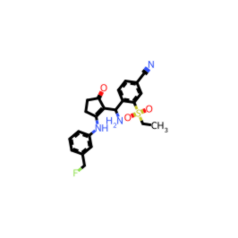 CCS(=O)(=O)c1cc(C#N)ccc1C(N)C1=C(Nc2cccc(CF)c2)CCC1=O